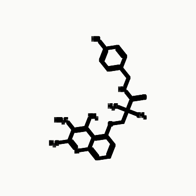 Cc1nc2cccc(OCC(C)(C)C(=O)NCc3ccc(O)cc3)c2c(N)c1C(=O)O